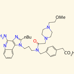 CCCCc1nc2c(N)nc3ccccc3c2n1CCCN(Cc1ccc(CC(=O)O)cc1)C(=O)CN1CCN(CCOC)CC1